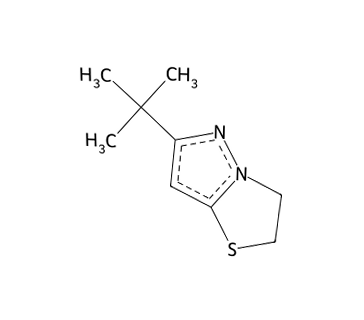 CC(C)(C)c1cc2n(n1)CCS2